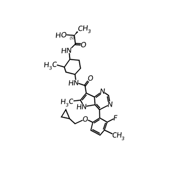 Cc1ccc(OCC2CC2)c(-c2ncnc3c(C(=O)NC4CCC(NC(=O)[C@H](C)O)C(C)C4)c(C)[nH]c23)c1F